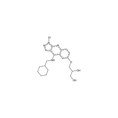 CCn1ncc2c(NCC3CCCCC3)c3cc(OCC(O)CO)ccc3nc21